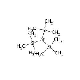 C[Si](C)(C)[N+]([Si](C)(C)C)[Si](C)(C)C